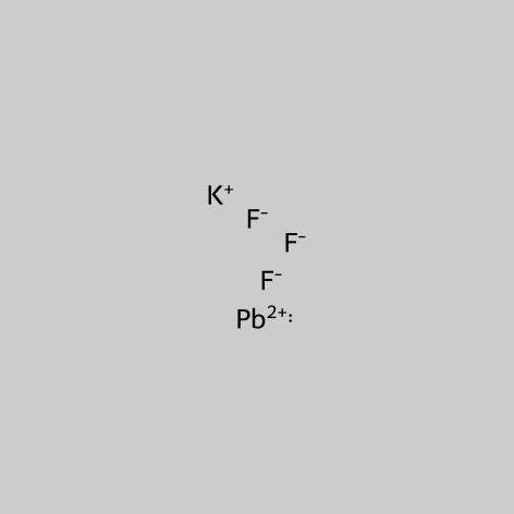 [F-].[F-].[F-].[K+].[Pb+2]